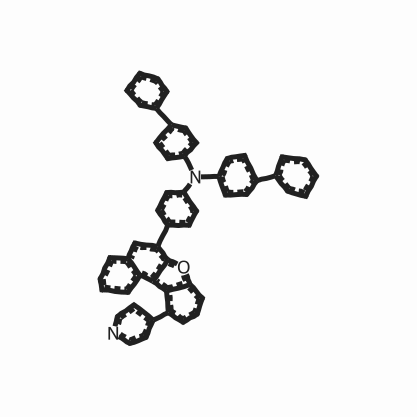 c1ccc(-c2ccc(N(c3ccc(-c4ccccc4)cc3)c3ccc(-c4cc5ccccc5c5c4oc4cccc(-c6ccncc6)c45)cc3)cc2)cc1